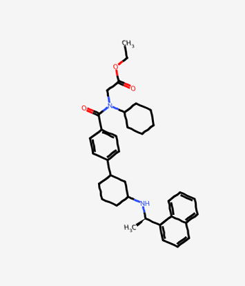 CCOC(=O)CN(C(=O)c1ccc(C2CCCC(N[C@H](C)c3cccc4ccccc34)C2)cc1)C1CCCCC1